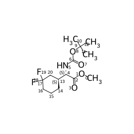 COC(=O)[C@@H](NC(=O)OC(C)(C)C)[C@H]1CCCC(F)(F)C1